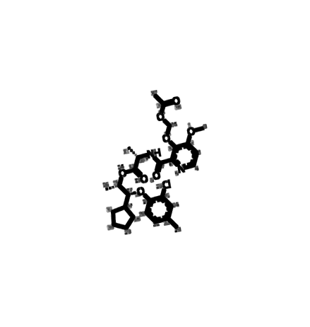 COc1ccnc(C(=O)N[C@@H](C)C(=O)O[C@@H](C)[C@H](Oc2ccc(C)cc2Cl)C2CCCC2)c1OCOC(C)=O